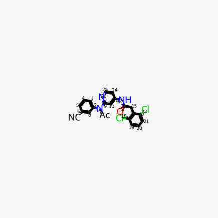 CC(=O)N(c1cccc(C#N)c1)c1cc(NC(=O)Cc2c(Cl)cccc2Cl)ccn1